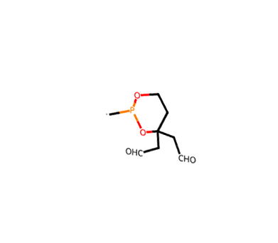 [CH2]P1OCCC(CC=O)(CC=O)O1